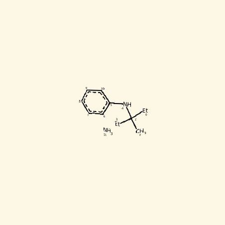 CCC(C)(CC)Nc1ccccc1.N